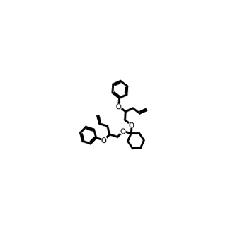 C=CCC(COC1(OCC(CC=C)Oc2ccccc2)CCCCC1)Oc1ccccc1